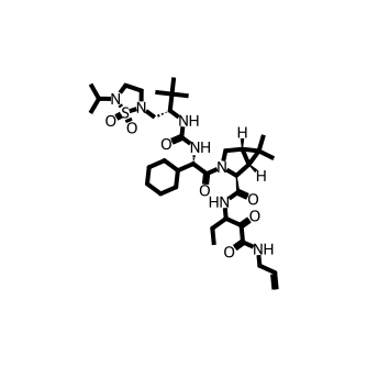 C=CCNC(=O)C(=O)C(CC)NC(=O)[C@@H]1[C@@H]2[C@H](CN1C(=O)[C@@H](NC(=O)N[C@H](CN1CCN(C(C)C)S1(=O)=O)C(C)(C)C)C1CCCCC1)C2(C)C